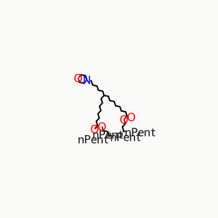 CCCCCC(CCCCC)CCOC(=O)CCCCCCCC(CCCCCCCC(=O)OCCC(CCCCC)CCCCC)CCCCCN1CCOCC1